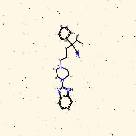 CC(C)C(C#N)(CCCN1CCN(c2nc3ccccc3[nH]2)CC1)c1ccccc1